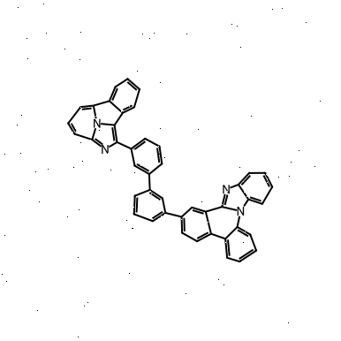 c1cc(-c2cccc(-c3nc4cccc5c6ccccc6c3n45)c2)cc(-c2ccc3c4ccccc4n4c5ccccc5nc4c3c2)c1